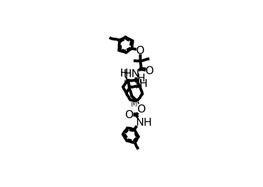 Cc1ccc(OC(C)(C)C(=O)N[C@H]2[C@@H]3CC4C[C@H]2C[C@](OC(=O)Nc2cccc(C)c2)(C4)C3)cc1